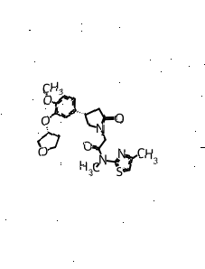 COc1ccc([C@@H]2CC(=O)N(CC(=O)N(C)c3nc(C)cs3)C2)cc1O[C@@H]1CCOC1